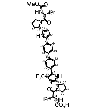 COC(=O)N[C@H](C(=O)N1CCC[C@H]1c1ncc(-c2ccc(-c3ccc(-c4[nH]c([C@@H]5CCCN5C(=O)[C@@H](NC(=O)O)C(C)C)nc4C(F)(F)F)cc3)cc2)[nH]1)C(C)C